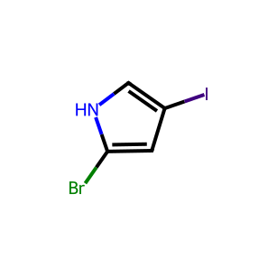 Brc1cc(I)c[nH]1